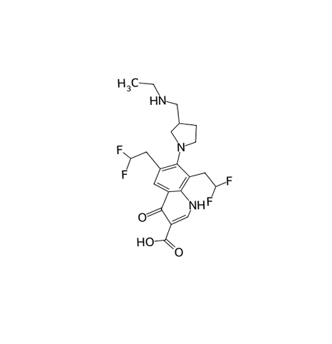 CCNCC1CCN(c2c(CC(F)F)cc3c(=O)c(C(=O)O)c[nH]c3c2CC(F)F)C1